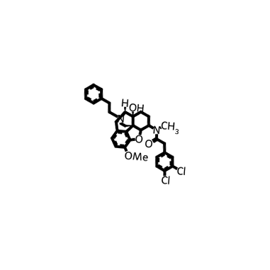 COc1ccc2c3c1OC1C(N(C)C(=O)Cc4ccc(Cl)c(Cl)c4)CC[C@@]4(O)[C@@H](C2)N(CCc2ccccc2)CC[C@]314